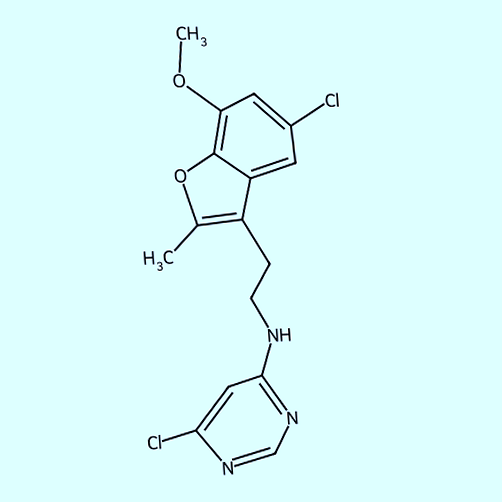 COc1cc(Cl)cc2c(CCNc3cc(Cl)ncn3)c(C)oc12